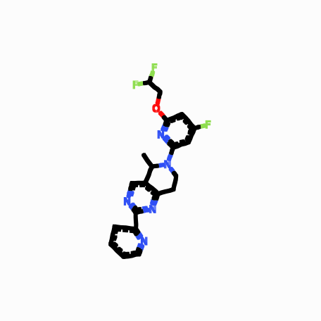 CC1c2cnc(-c3ccccn3)nc2CCN1c1cc(F)cc(OCC(F)F)n1